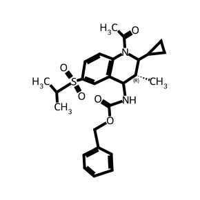 CC(=O)N1c2ccc(S(=O)(=O)C(C)C)cc2C(NC(=O)OCc2ccccc2)[C@@H](C)C1C1CC1